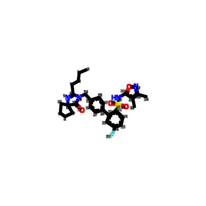 CCCCC1=NC2(CCCC2)C(=O)N1Cc1ccc(-c2cc(F)ccc2S(=O)(=O)Nc2onc(C)c2C)cc1